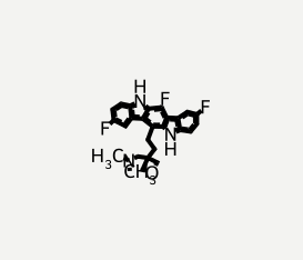 CN(C)CC1(CCc2c3[nH]c4ccc(F)cc4c3c(F)c3[nH]c4ccc(F)cc4c23)COC1